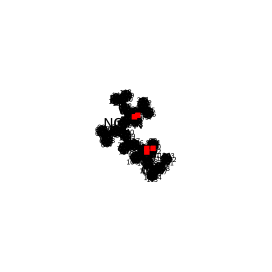 N#Cc1cc(-n2c3ccc(-n4c5ccccc5c5ccccc54)cc3c3cc(-n4c5ccccc5c5ccccc54)ccc32)c(-c2cccnc2)cc1-n1c2ccc(-n3c4ccccc4c4ccccc43)cc2c2cc(-n3c4ccccc4c4cc(-c5cc(-c6ccccc6)cc6c5c5ccccc5n6-c5cc(C#N)c(-n6c7ccccc7c7ccc(-c8ccccc8)cc76)cc5-c5cccnc5)ccc43)ccc21